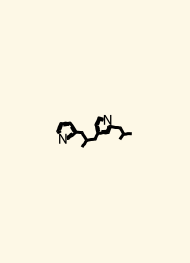 CC(C)Cc1cc(CC(C)Cc2cccnc2)ccn1